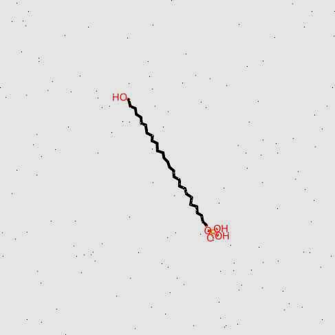 O=P(O)(O)OCCCCCCCCCCCCCCCCCCCCCCCCCCCCCO